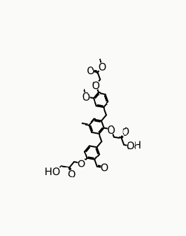 COC(=O)COc1ccc(Cc2cc(C)cc(Cc3ccc(OCC(=O)CO)c(C=O)c3)c2OCC(=O)CO)cc1OC